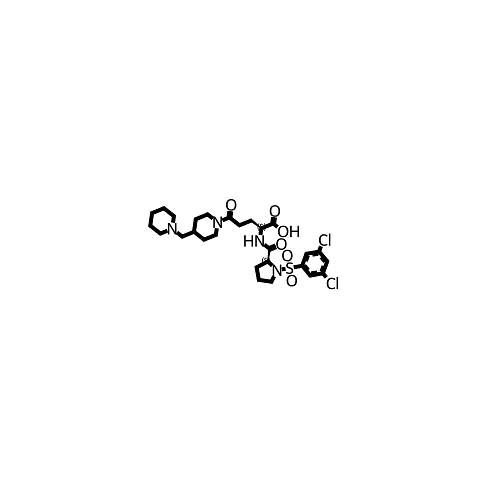 O=C(O)[C@H](CCC(=O)N1CCC(CN2CCCCC2)CC1)NC(=O)[C@@H]1CCCN1S(=O)(=O)c1cc(Cl)cc(Cl)c1